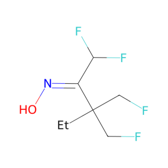 CCC(CF)(CF)/C(=N\O)C(F)F